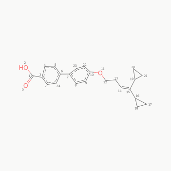 O=C(O)c1ccc(-c2ccc(OCCC=C(C3CC3)C3CC3)cc2)cc1